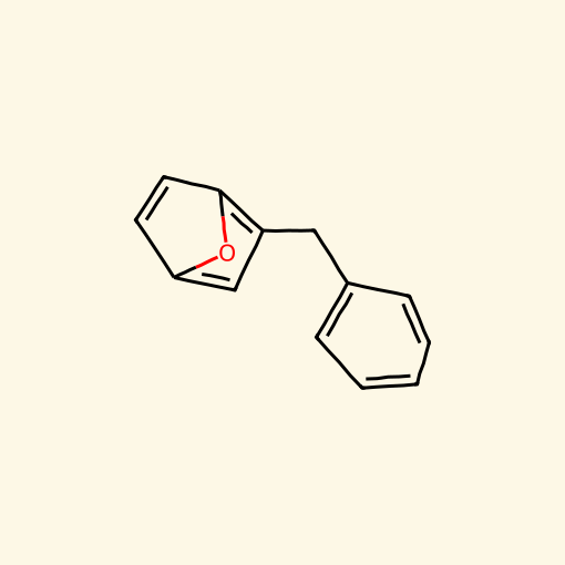 c1ccc(Cc2cc3ccc2o3)cc1